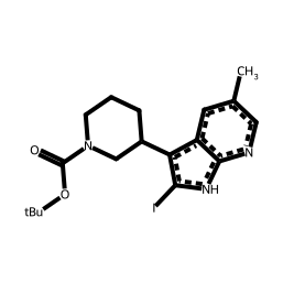 Cc1cnc2[nH]c(I)c(C3CCCN(C(=O)OC(C)(C)C)C3)c2c1